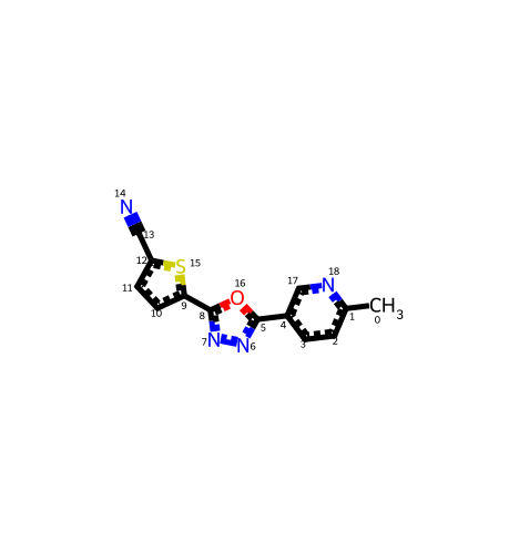 Cc1ccc(-c2nnc(-c3ccc(C#N)s3)o2)cn1